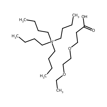 CCCC[N+](CCCC)(CCCC)CCCC.CCOCCOCCC(=O)O